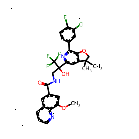 COc1cc(C(=O)NCC(O)(c2cc3c(c(-c4ccc(F)c(Cl)c4)n2)OCC3(C)C)C(F)(F)F)cc2cccnc12